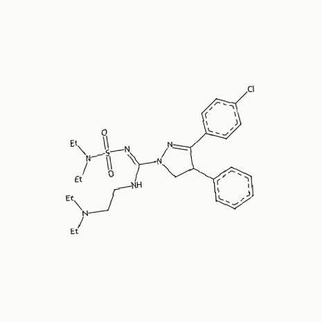 CCN(CC)CCN/C(=N\S(=O)(=O)N(CC)CC)N1CC(c2ccccc2)C(c2ccc(Cl)cc2)=N1